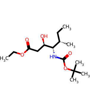 CCOC(=O)C[C@@H](O)[C@@H](NC(=O)OC(C)(C)C)[C@@H](C)CC